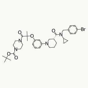 CC(C)(C)OC(=O)N1CCN(C(=O)C(C)(C)Oc2cccc(N3CCC[C@@H](C(=O)N(Cc4ccc(Br)cc4)C4CC4)C3)c2)CC1